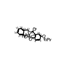 CCCOc1ccc(OCCC)c(C(=O)OCc2ccccc2OC(C)=O)c1